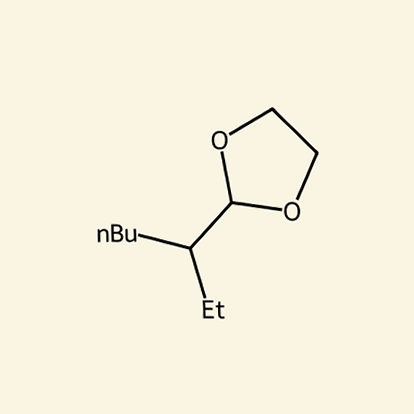 CCCCC(CC)C1OCCO1